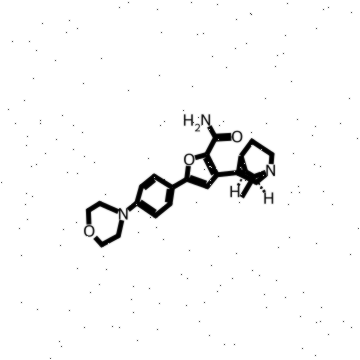 C[C@H]1[C@@H](c2cc(-c3ccc(N4CCOCC4)cc3)oc2C(N)=O)C2CCN1CC2